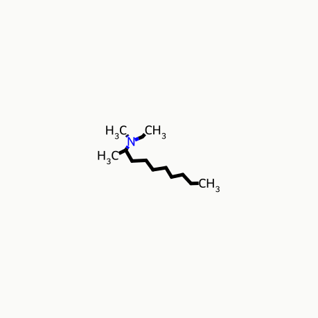 CCCCCCCCC(C)N(C)CC